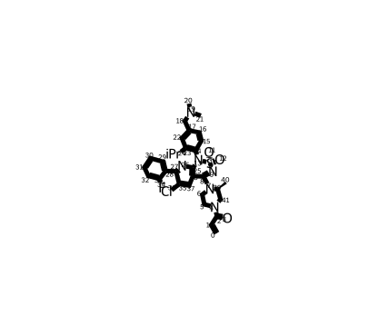 C=CC(=O)N1CCN(C2=NS(=O)(=O)N(c3ccc(CN(C)C)cc3C(C)C)c3nc(-c4ccccc4F)c(Cl)cc32)[C@@H](C)C1